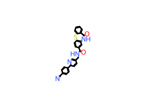 N#Cc1ccc(-c2ccc(CNC(=O)c3ccc4c(c3)NC(=O)c3ccccc3S4)cn2)cc1